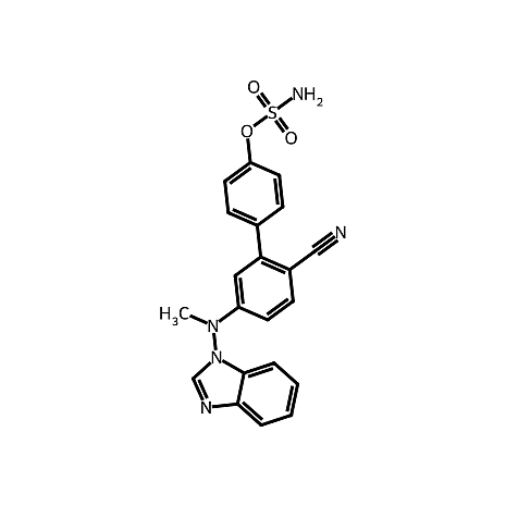 CN(c1ccc(C#N)c(-c2ccc(OS(N)(=O)=O)cc2)c1)n1cnc2ccccc21